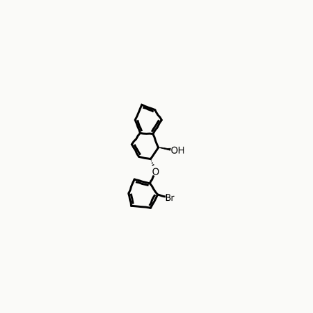 O[C@@H]1c2ccccc2C=C[C@H]1Oc1ccccc1Br